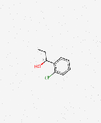 CC[C@H](O)c1ccccc1Cl